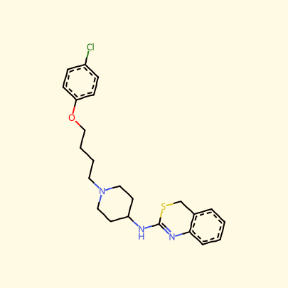 Clc1ccc(OCCCCN2CCC(NC3=Nc4ccccc4CS3)CC2)cc1